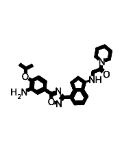 CC(C)Oc1ccc(-c2nc(-c3cccc4c3CC[C@H]4NCC(=O)N3CCCCC3)no2)cc1N